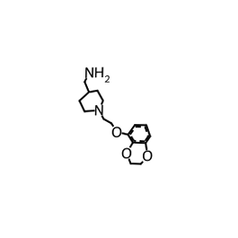 NCC1CCN(CCOc2cccc3c2OCCO3)CC1